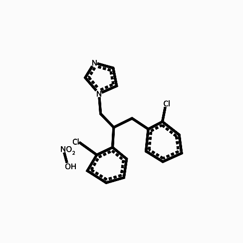 Clc1ccccc1CC(Cn1ccnc1)c1ccccc1Cl.O=[N+]([O-])O